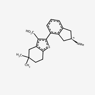 CN[C@@H]1Cc2cccc(-c3sc4c(c3C(=O)O)CC(C)(C)CC4)c2C1